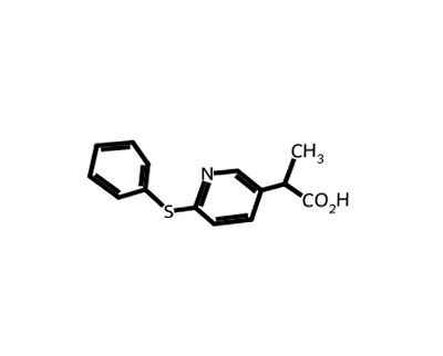 CC(C(=O)O)c1ccc(Sc2ccccc2)nc1